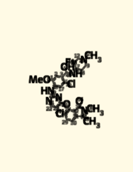 COc1cc(C(O)N[C@H]2CCN(C)C[C@H]2F)c(Cl)cc1Nc1ncc(Cl)c(Oc2cccc3c2C(=O)N(C)[C@H]3C)n1